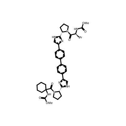 COC(=O)N[C@H](C(=O)N1CCC[C@H]1c1nc(-c2ccc(-c3ccc(-c4c[nH]c([C@@H]5CCCN5C(=O)C5(NC(=O)OC)CCCCC5)n4)cc3)cc2)c[nH]1)C(C)C